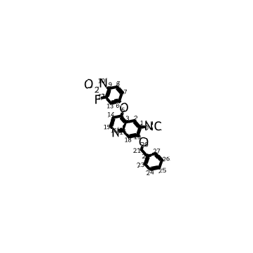 [C-]#[N+]c1cc2c(Oc3ccc([N+](=O)[O-])c(F)c3)ccnc2cc1OCc1ccccc1